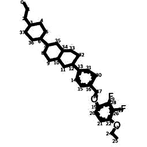 CCCC1CCC(C2CCC3CC(c4ccc(COc5ccc(OCC)c(F)c5F)cc4)CCC3C2)CC1